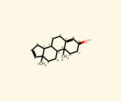 CC12C=CCC1C1CCC3=CC(=O)CCC3(C)C1CC2